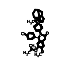 COc1cc2c(cc1OC(C)C)[C@H](c1ccc(Cl)cc1)N(c1ccc(C(C)(O)C3C4CCCC5CC3CC5C4)cc1)C(=O)C2